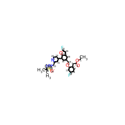 CCOC(=O)Cc1ccc(F)cc1OCc1cc(-c2ccnc(CN[S@@+]([O-])C(C)(C)C)c2)c2oc(F)cc2c1